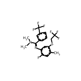 Cc1cc(F)c(/N=C(\c2cccc(C(F)(F)F)c2)N(C)C)cc1SCC(F)(F)F